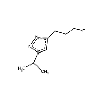 CC(C)n1cc(CCCF)nn1